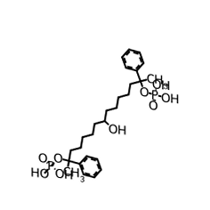 CC(CCCCCC(O)CCCCCC(C)(OP(=O)(O)O)c1ccccc1)(OP(=O)(O)O)c1ccccc1